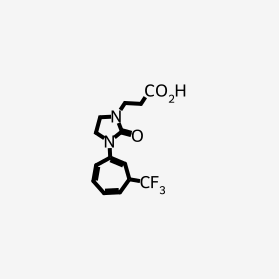 O=C(O)CCN1CCN(C2=CC(C(F)(F)F)C=CC=C2)C1=O